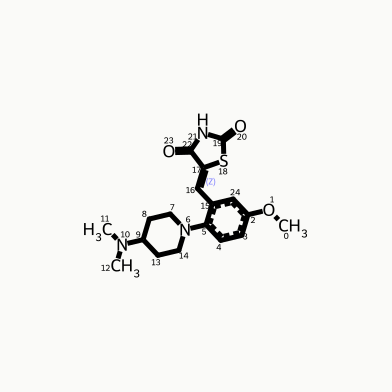 COc1ccc(N2CCC(N(C)C)CC2)c(/C=C2\SC(=O)NC2=O)c1